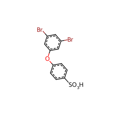 O=S(=O)(O)c1ccc(Oc2cc(Br)cc(Br)c2)cc1